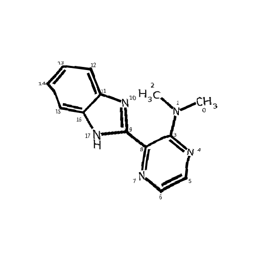 CN(C)c1nccnc1-c1nc2ccccc2[nH]1